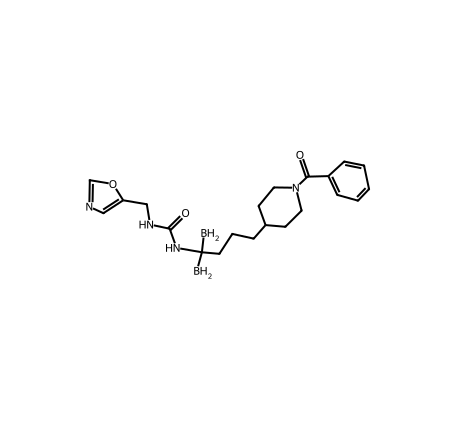 BC(B)(CCCC1CCN(C(=O)c2ccccc2)CC1)NC(=O)NCc1cnco1